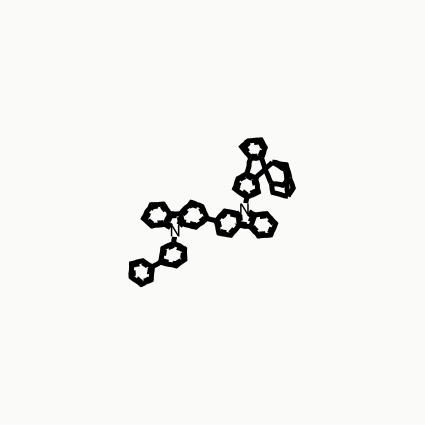 c1ccc(-c2cccc(-n3c4ccccc4c4ccc(-c5ccc6c7ccccc7n(-c7ccc8c(c7)C7(c9ccccc9-8)C8CC9CC(C8)CC7C9)c6c5)cc43)c2)cc1